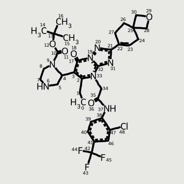 CCc1c(C2CNCCN2C(=O)OC(C)(C)C)c(=O)n2nc(C3=CCC4(CC3)COC4)nc2n1CC(=O)Nc1ccc(C(F)(F)F)cc1Cl